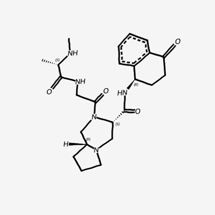 CN[C@@H](C)C(=O)NCC(=O)N1C[C@H]2CCCN2C[C@H]1C(=O)N[C@@H]1CCC(=O)c2ccccc21